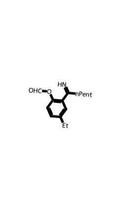 CCCCCC(=N)c1cc(CC)ccc1OC=O